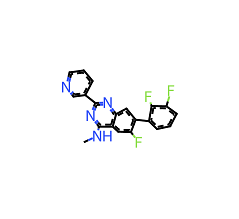 CNc1nc(-c2cccnc2)nc2cc(-c3cccc(F)c3F)c(F)cc12